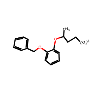 CC(CCC(=O)O)Oc1ccccc1OCc1ccccc1